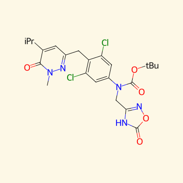 CC(C)c1cc(Cc2c(Cl)cc(N(Cc3noc(=O)[nH]3)C(=O)OC(C)(C)C)cc2Cl)nn(C)c1=O